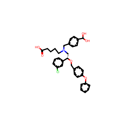 O=C(O)CCCCN(Cc1ccc(C(O)O)cc1)C[C@H](OCc1ccc(Oc2ccccc2)cc1)c1cccc(Cl)c1